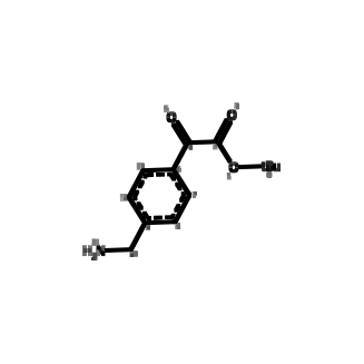 CC(C)(C)OC(=O)C(=O)c1ccc(CN)cc1